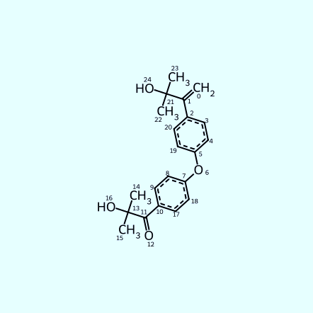 C=C(c1ccc(Oc2ccc(C(=O)C(C)(C)O)cc2)cc1)C(C)(C)O